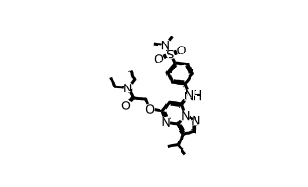 CCN(CC)C(=O)COc1cc(Nc2ccc(S(=O)(=O)N(C)C)cc2)n2ncc(C(C)C)c2n1